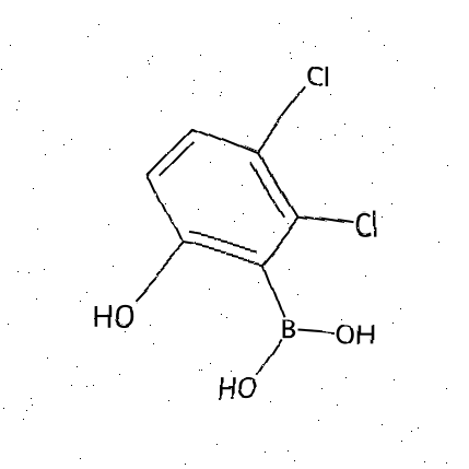 OB(O)c1c(O)ccc(Cl)c1Cl